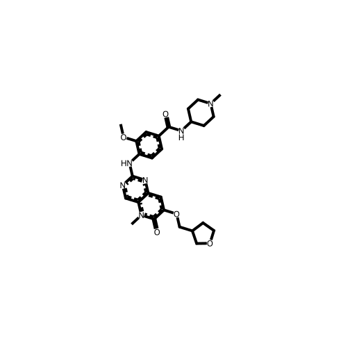 COc1cc(C(=O)NC2CCN(C)CC2)ccc1Nc1ncc2c(cc(OCC3CCOC3)c(=O)n2C)n1